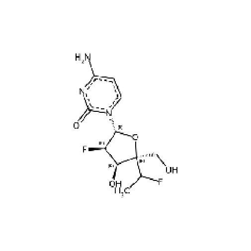 CC(F)[C@]1(CO)O[C@@H](n2ccc(N)nc2=O)[C@H](F)[C@@H]1O